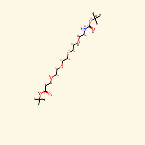 CC(C)(C)OC(=O)CCOCCOCCOCCOCCNC(=O)OC(C)(C)C